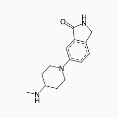 CNC1CCN(c2ccc3c(c2)C(=O)NC3)CC1